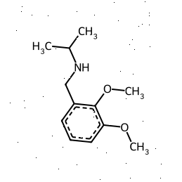 COc1cccc(CNC(C)C)c1OC